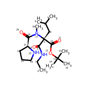 CCNC(=O)[C@@](CC(C)C)(C(=O)OC(C)(C)C)N(C)C(=O)[C@@H]1CCCN1